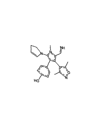 Cc1noc(C)c1-c1c(-c2ccc(O)cc2)c(N2C=CCC2)n(C)c1C=N